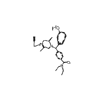 C#CCN1CC(C)N(C(c2ccc(C(=O)N(CC)CC)cc2)c2cccc(O)c2)CC1C